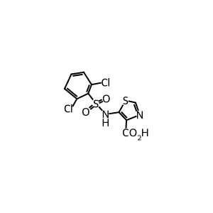 O=C(O)c1ncsc1NS(=O)(=O)c1c(Cl)cccc1Cl